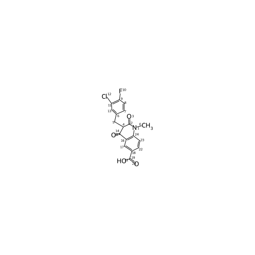 CN1C(=O)C(Cc2ccc(F)c(Cl)c2)C(=O)c2cc(C(=O)O)ccc21